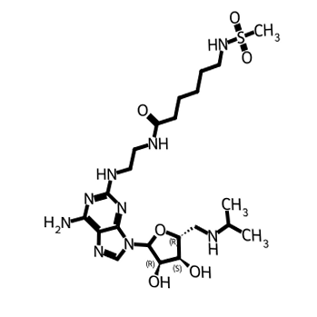 CC(C)NC[C@H]1OC(n2cnc3c(N)nc(NCCNC(=O)CCCCCNS(C)(=O)=O)nc32)[C@H](O)[C@@H]1O